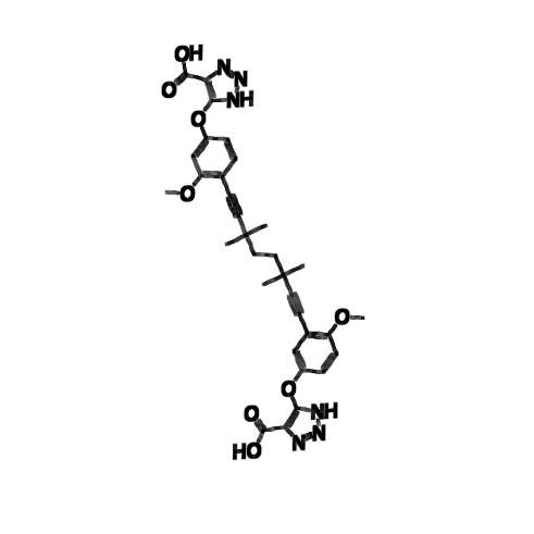 COc1ccc(Oc2[nH]nnc2C(=O)O)cc1C#CC(C)(C)CCC(C)(C)C#Cc1ccc(Oc2[nH]nnc2C(=O)O)cc1OC